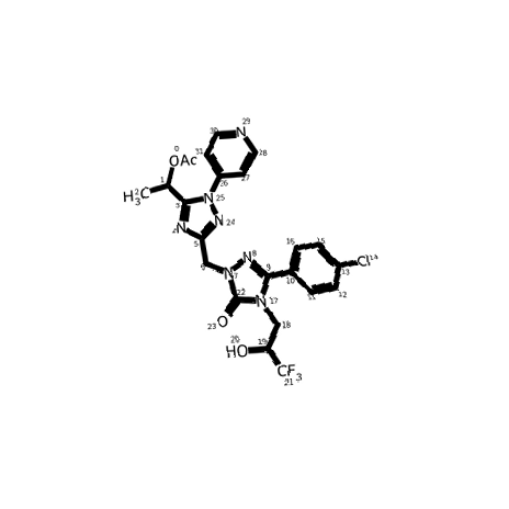 CC(=O)OC(C)c1nc(Cn2nc(-c3ccc(Cl)cc3)n(CC(O)C(F)(F)F)c2=O)nn1-c1ccncc1